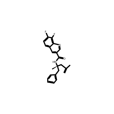 C=C(C)C[C@](C)(Cc1ccccc1)NC(=O)c1cnc2c(F)c(F)ccc2c1